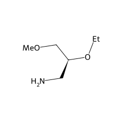 CCO[C@@H](CN)COC